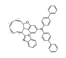 C1=C\C=C/C2Oc3cc(N(c4ccc(-c5ccccc5)cc4)c4ccc(-c5ccccc5)cc4)ccc3C2\C(c2nc3ccccc3o2)=C\C=C/1